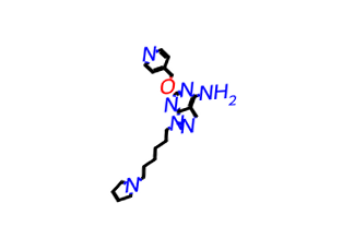 Nc1nc(OCc2ccncc2)nc2c1cnn2CCCCCCN1CCCC1